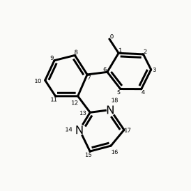 Cc1ccccc1-c1ccccc1-c1ncccn1